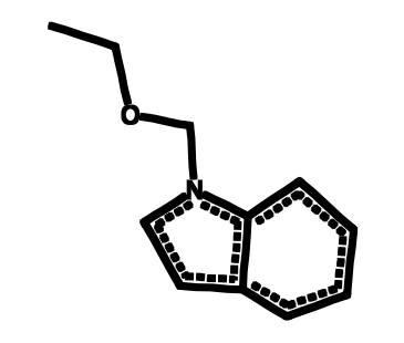 CCOCn1ccc2ccccc21